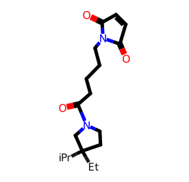 CCC1(C(C)C)CCN(C(=O)CCCCN2C(=O)C=CC2=O)C1